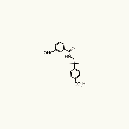 CC(C)(CNC(=O)c1cccc(C=O)c1)c1ccc(C(=O)O)cc1